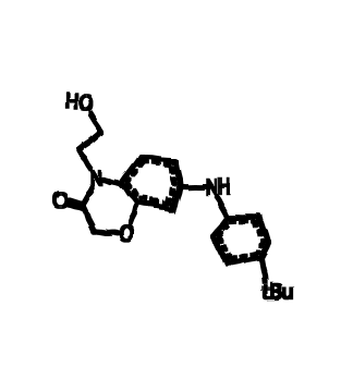 CC(C)(C)c1ccc(Nc2ccc3c(c2)OCC(=O)N3CCO)cc1